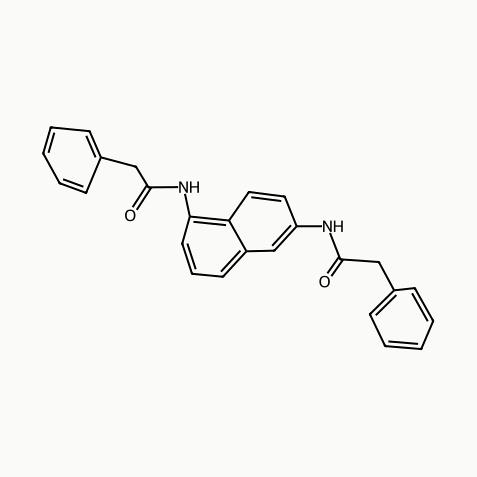 O=C(Cc1ccccc1)Nc1ccc2c(NC(=O)Cc3ccccc3)cccc2c1